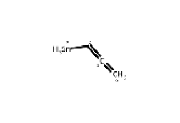 C=C=[CH][SnH3]